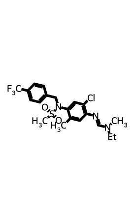 CCN(C)C=Nc1cc(C)c(N(Cc2ccc(C(F)(F)F)cc2)S(C)(=O)=O)cc1Cl